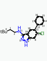 CC(C)(C)CCNc1n[nH]c2cc(Cl)c(-c3ccccc3)cc12